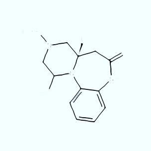 O=C1C[C@H]2CN(C(=O)O)CC(O)N2c2ccccc2N1